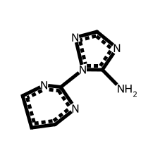 Nc1ncnn1-c1ncccn1